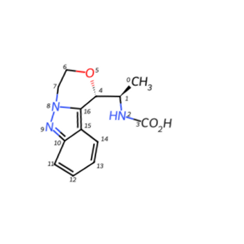 C[C@@H](NC(=O)O)[C@H]1OCCn2nc3ccccc3c21